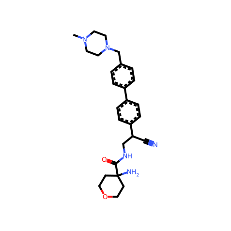 CN1CCN(Cc2ccc(-c3ccc(C(C#N)CNC(=O)C4(N)CCOCC4)cc3)cc2)CC1